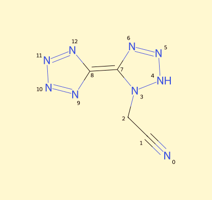 N#CCN1NN=NC1=C1N=NN=N1